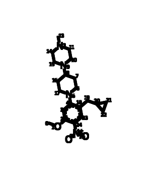 COc1cc(N2CCC(N3CCN(C)CC3)CC2)c(CC2CC2)cc1[N+](=O)[O-]